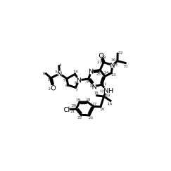 CC(=O)N(C)C1CCN(c2nc(NC(C)(C)Cc3ccc(Cl)cc3)c3c(n2)C(=O)N(C(C)C)C3)C1